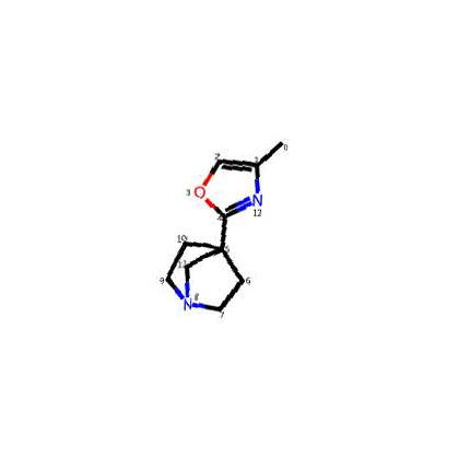 Cc1coc(C23CCN(CC2)C3)n1